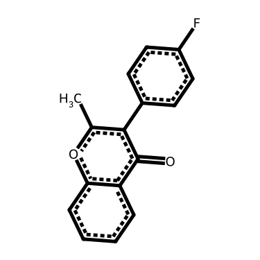 Cc1oc2ccccc2c(=O)c1-c1ccc(F)cc1